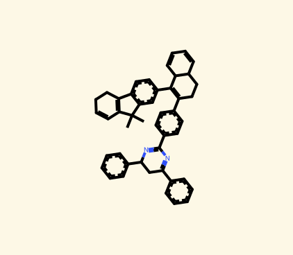 CC1(C)C2=C(CCC=C2)c2ccc(C3=C(c4ccc(C5=NC(c6ccccc6)CC(c6ccccc6)=N5)cc4)CCC4C=CC=CC34)cc21